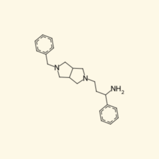 NC(CCN1CC2CN(Cc3ccccc3)CC2C1)c1ccccc1